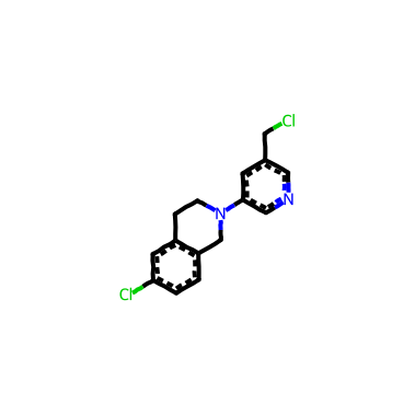 ClCc1cncc(N2CCc3cc(Cl)ccc3C2)c1